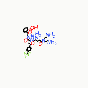 NCCN(CCN)C(=O)CC[C@H](N)C(=O)N[C@H](CCc1ccc(C(F)(F)F)cc1)C(=O)NC[C@@H]1OB(O)c2ccccc21